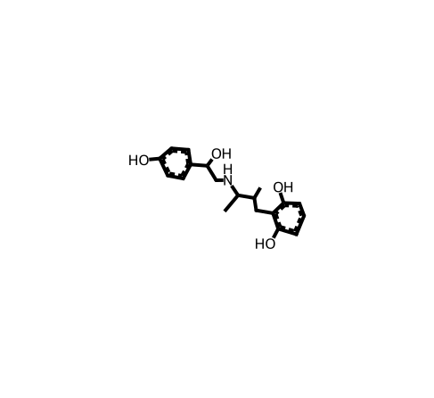 CC(Cc1c(O)cccc1O)C(C)NCC(O)c1ccc(O)cc1